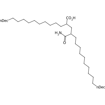 CCCCCCCCCCCCCCCCCCCCC(CC(CCCCCCCCCCCCCCCCCCCC)C(=O)O)C(N)=O